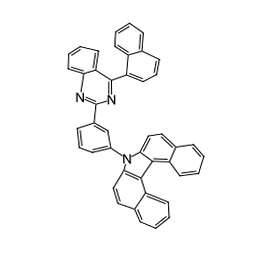 c1cc(-c2nc(-c3cccc4ccccc34)c3ccccc3n2)cc(-n2c3ccc4ccccc4c3c3c4ccccc4ccc32)c1